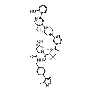 Cc1ncsc1-c1ccc(CNC(=O)[C@@H]2C[C@@H](O)CN2C(=O)C(NC(=O)c2ccnc(N3CCN(c4cc(-c5ccccc5O)nnc4N)CC3)c2)C(C)(C)C)cc1